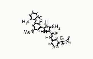 CNc1cc(-c2c(C)cccc2C)cc(C2NC(C)=C(C(=O)Nc3cccc(C(F)(F)C4CC4)c3)N2)c1